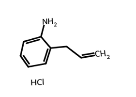 C=CCc1ccccc1N.Cl